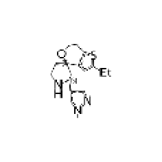 CCc1cc2c(s1)CCO[C@]21CCN[C@H](c2cnn(C)c2)C1